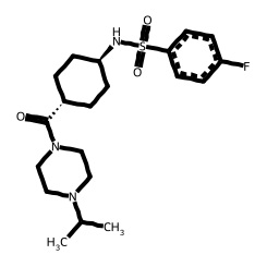 CC(C)N1CCN(C(=O)[C@H]2CC[C@H](NS(=O)(=O)c3ccc(F)cc3)CC2)CC1